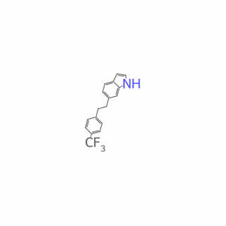 FC(F)(F)c1ccc(CCc2ccc3cc[nH]c3c2)cc1